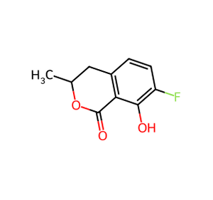 CC1Cc2ccc(F)c(O)c2C(=O)O1